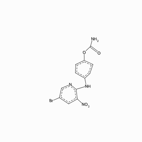 NC(=O)Oc1ccc(Nc2ncc(Br)cc2[N+](=O)[O-])cc1